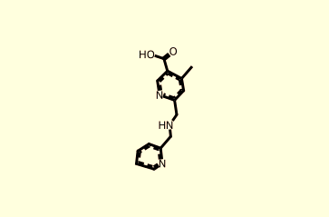 Cc1cc(CNCc2ccccn2)ncc1C(=O)O